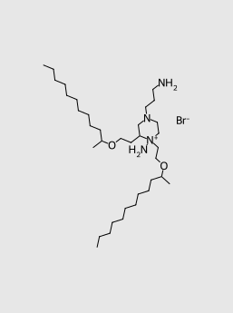 CCCCCCCCCCC(C)OCCC1CN(CCCN)CC[N+]1(N)CCOC(C)CCCCCCCCCC.[Br-]